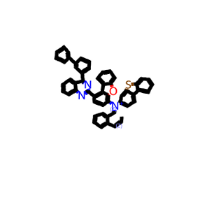 C/C=C\c1ccccc1/C=[N+](/c1ccc2c(c1)sc1ccccc12)c1ccc(-c2nc(-c3cccc(-c4ccccc4)c3)c3ccccc3n2)c2c1oc1ccccc12